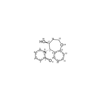 O=c1ccccn1[C@H]1c2ccccc2OCC[C@@H]1O